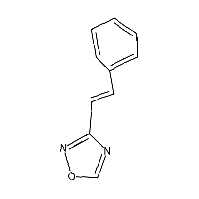 C(=Cc1ncon1)c1ccccc1